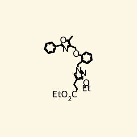 CCOC(=O)CCc1cn(Cc2ccccc2OCc2nc(-c3ccccc3)oc2C)nc1OCC